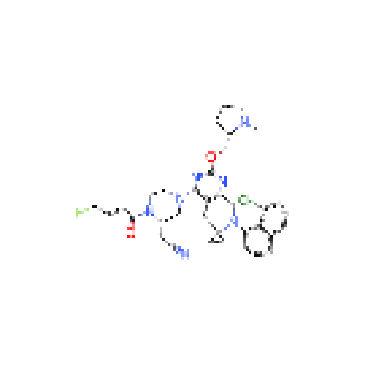 CN1CCC[C@H]1COc1nc2c(c(N3CCN(C(=O)/C=C/CF)[C@@H](CC#N)C3)n1)CC1(CC1)N(c1cccc3cccc(Cl)c13)C2